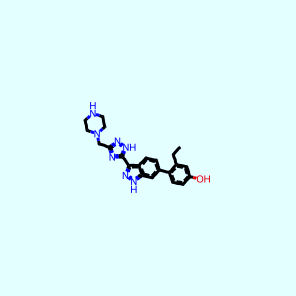 CCc1cc(O)ccc1-c1ccc2c(-c3nc(CN4CCNCC4)n[nH]3)n[nH]c2c1